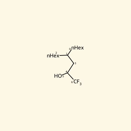 CCCCCCC(CCCCCC)CC(O)C(F)(F)F